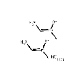 C/[P+]([O-])=C/P.C/[P+]([O-])=C/P.Cl.Cl